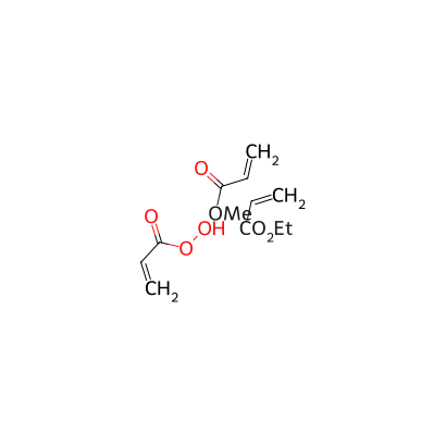 C=CC(=O)OC.C=CC(=O)OCC.C=CC(=O)OO